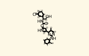 Cc1ccccc1Nc1ncc(C)c(-c2c[nH]c(OC(=O)NC(CO)c3cccc(Cl)c3)c2)n1